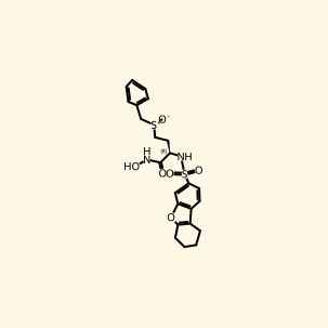 O=C(NO)[C@@H](CC[S+]([O-])Cc1ccccc1)NS(=O)(=O)c1ccc2c3c(oc2c1)CCCC3